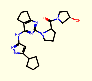 O=C(C1CCCN1c1nc2c(c(Nc3cc(C4CCCC4)[nH]n3)n1)CCC2)N1CC[C@@H](O)C1